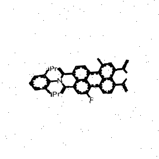 C=C(C)c1ccc2c3c(F)cc4c5c(ccc(c6c(C)cc(C(=C)C)c1c26)c53)C(=C)N(c1c(C(C)C)cccc1C(C)C)C4=C